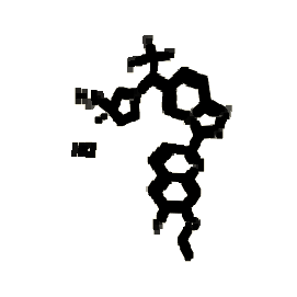 CCOc1cc2nc(-c3nnc4ccc([C@@H](N5CC[C@@](C)(N)C5)C(F)(F)F)cn34)ccc2cc1F.Cl